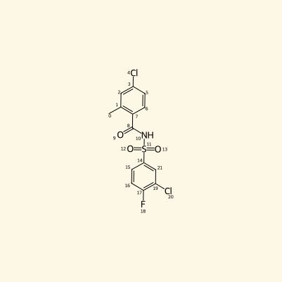 Cc1cc(Cl)ccc1C(=O)NS(=O)(=O)c1ccc(F)c(Cl)c1